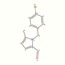 Cc1ccc(C=O)n1Cc1ccc(Br)cc1